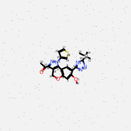 COc1cc2c(cc1C1=NC([Si](C)(C)C)N=N1)-c1c(c(C(C)=O)nn1-c1ccsc1)CO2